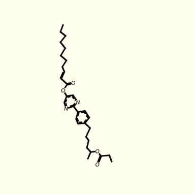 CCCCCCCC/C=C/C(=O)Oc1cnc(-c2ccc(CCCCC(C)OC(=O)CC)cc2)nc1